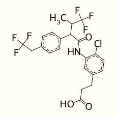 CC(C(C(=O)Nc1cc(CCC(=O)O)ccc1Cl)c1ccc(CC(F)(F)F)cc1)C(F)(F)F